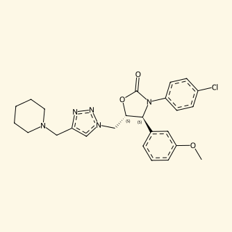 COc1cccc([C@H]2[C@H](Cn3cc(CN4CCCCC4)nn3)OC(=O)N2c2ccc(Cl)cc2)c1